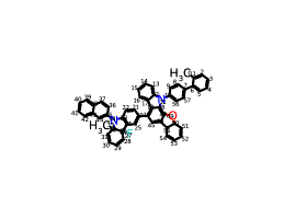 Cc1ccccc1-c1ccc(-n2c3ccccc3c3c(-c4ccc5c(c4)[C@@]4(F)C=CC=C[C@@]4(C)N5c4ccc5ccccc5c4)cc4c(c32)OC2C=CC=CC42)cc1